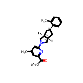 COC(=O)c1cc(C)cc(N2C[C@H]3C[C@@H](c4ccccc4C(F)(F)F)C[C@H]3C2)n1